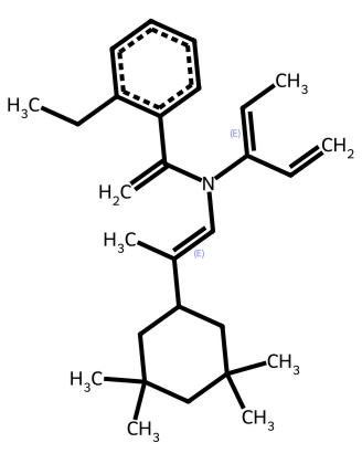 C=C/C(=C\C)N(/C=C(\C)C1CC(C)(C)CC(C)(C)C1)C(=C)c1ccccc1CC